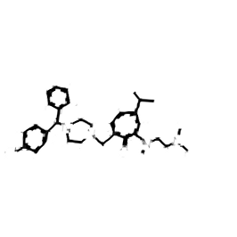 CC(C)c1ccc(CN2CCN(C(c3ccccc3)c3ccc(Cl)cc3)CC2)c(=O)c(N(C)CCN(C)C)c1